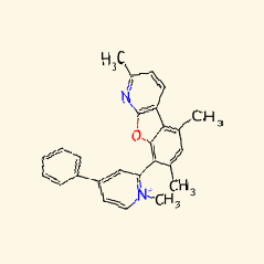 Cc1ccc2c(n1)oc1c(-c3cc(-c4ccccc4)cc[n+]3C)c(C)cc(C)c12